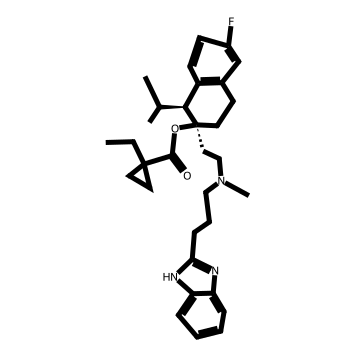 CCC1(C(=O)O[C@]2(CCN(C)CCCc3nc4ccccc4[nH]3)CCc3cc(F)ccc3[C@@H]2C(C)C)CC1